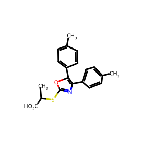 Cc1ccc(-c2nc(SC(C)C(=O)O)oc2-c2ccc(C)cc2)cc1